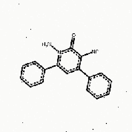 [C-]#[N+]c1c(-c2ccccc2)cc(-c2ccccc2)n(N)c1=O